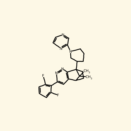 CC1(C)C2CCC1(C1CCCN(c3cnccn3)C1)c1nnc(-c3c(F)cccc3F)cc12